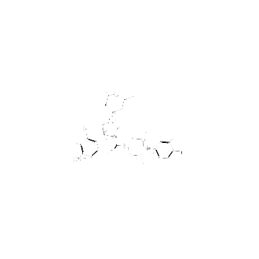 CC1CC(N2C[C@@H](C(=O)N3C[C@@H](C)N(c4ccc(F)cc4)[C@@H](C)C3)[C@H](c3ccc(F)cc3F)C2)CCO1